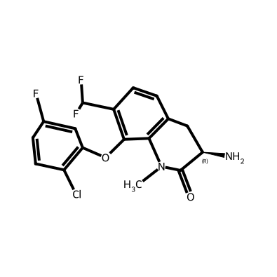 CN1C(=O)[C@H](N)Cc2ccc(C(F)F)c(Oc3cc(F)ccc3Cl)c21